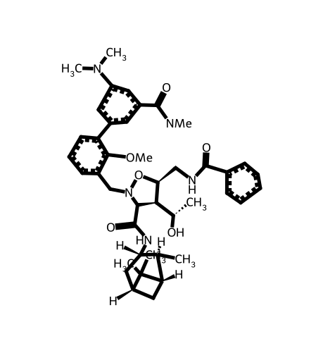 CNC(=O)c1cc(-c2cccc(CN3O[C@@H](CNC(=O)c4ccccc4)[C@@H]([C@H](C)O)C3C(=O)N[C@H]3C[C@H]4C[C@@H]([C@@H]3C)C4(C)C)c2OC)cc(N(C)C)c1